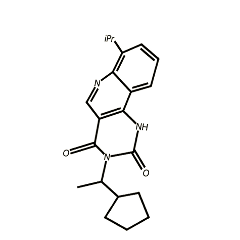 CC(C)c1cccc2c1ncc1c(=O)n(C(C)C3CCCC3)c(=O)[nH]c12